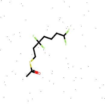 CC(=O)SCCC(F)(F)CCCC(F)F